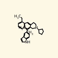 CCc1cccc(CC)c1/C=C1/CCN(C2CCCC2)C/C1=C(/C)c1ccc2[nH]ccc2c1